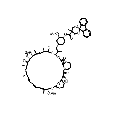 CO[C@H]1C[C@@H]2CC[C@@H](C)[C@@](O)(O2)C(=O)C(=O)N2CCCC[C@H]2C(=O)O[C@H]([C@H](C)C[C@@H]2CC[C@@H](OC(=O)C3(C)COC4(OC3)c3ccccc3-c3ccccc34)[C@H](OC)C2)CC(=O)[C@H](C)/C=C(\C)[C@@H](OC(C)=O)[C@@H](CO)C(=O)[C@H](C)C[C@H](C)/C=C/C=C/C=C/1C